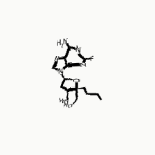 CCCC[C@]1(CO)O[C@H](n2cnc3c(N)nc(F)nc32)C[C@@H]1O